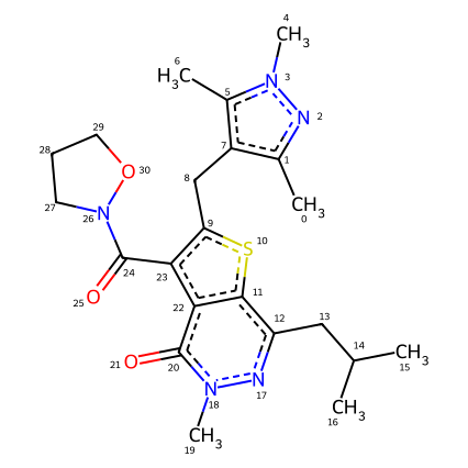 Cc1nn(C)c(C)c1Cc1sc2c(CC(C)C)nn(C)c(=O)c2c1C(=O)N1CCCO1